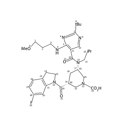 COCCCNc1nc(C(C)(C)C)ncc1C(=O)N(CC(C)C)[C@H]1C[C@@H](C(=O)N2CCc3ccc(F)cc32)CN(C(=O)O)C1